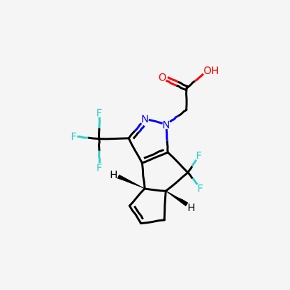 O=C(O)Cn1nc(C(F)(F)F)c2c1C(F)(F)[C@@H]1CC=C[C@H]21